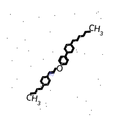 CCCCCCCC1CCC(c2ccc(OC/C=C/C3CCC(CCCCC)CC3)cc2)CC1